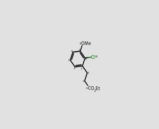 CCOC(=O)CCc1cccc(OC)c1Cl